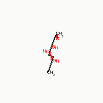 CCCCCCCCCC[C@@H](O)[C@H]1CC[C@H]([C@H]2CC[C@H]([C@H](O)CCCC[C@H](O)CCCCCCCC3=C[C@H](C)OC3=O)O2)O1